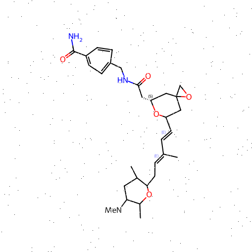 CNC1CC(C)C(C/C=C(C)/C=C/C2CC3(CO3)C[C@@H](CC(=O)NCc3ccc(C(N)=O)cc3)O2)OC1C